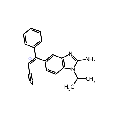 CC(C)n1c(N)nc2cc(/C(=C\C#N)c3ccccc3)ccc21